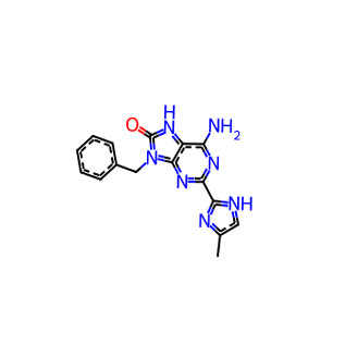 Cc1c[nH]c(-c2nc(N)c3[nH]c(=O)n(Cc4ccccc4)c3n2)n1